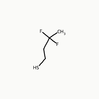 CC(F)(F)CCS